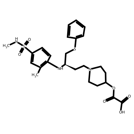 CNS(=O)(=O)c1ccc(N[C@H](CCN2CCC(OC(=O)C(=O)O)CC2)CSc2ccccc2)c(C)c1